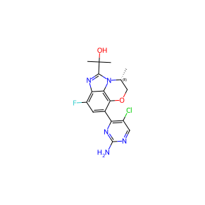 C[C@@H]1COc2c(-c3nc(N)ncc3Cl)cc(F)c3nc(C(C)(C)O)n1c23